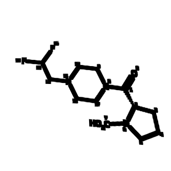 O=C([C@@H]1CCCN1C(=O)O)N1CCN(CC(F)F)CC1